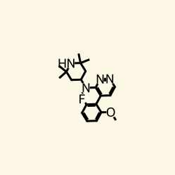 COc1cccc(F)c1-c1ccnnc1N(C)C1CC(C)(C)NC(C)(C)C1